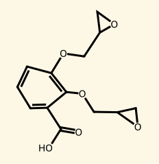 O=C(O)c1cccc(OCC2CO2)c1OCC1CO1